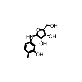 Cc1ccc(NC2O[C@@H](CO)[C@H](O)[C@@H]2O)cc1O